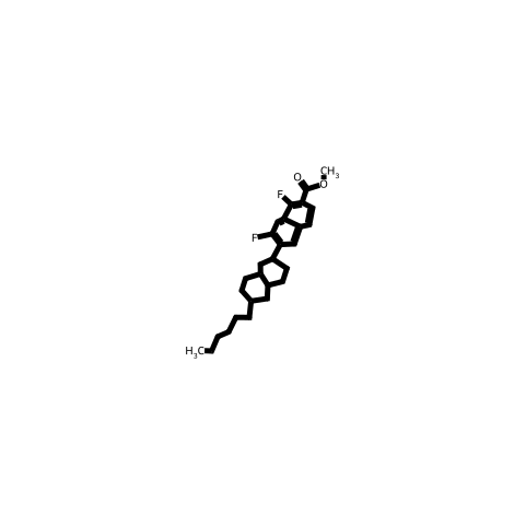 CCCCCCC1CCC2CC(c3cc4ccc(C(=O)OC)c(F)c4cc3F)CCC2C1